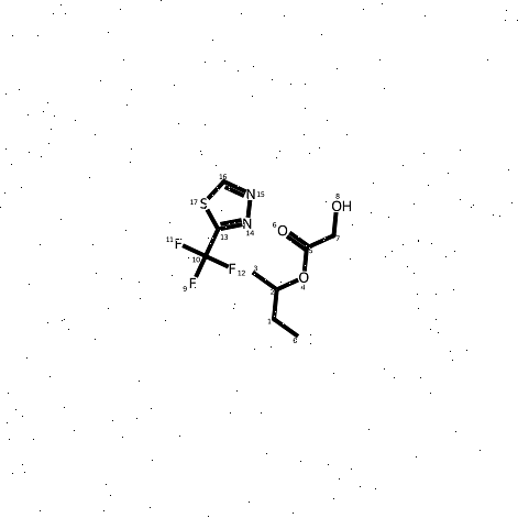 CCC(C)OC(=O)CO.FC(F)(F)c1nncs1